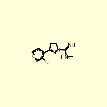 CNC(=N)N1CCC(c2ccccc2Cl)=N1